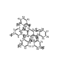 Fc1ccc2c(c1)B1c3cc(F)ccc3N3c4ccc(F)cc4B4c5ccccc5Sc5cc(c1c3c54)N2c1c(F)cccc1F